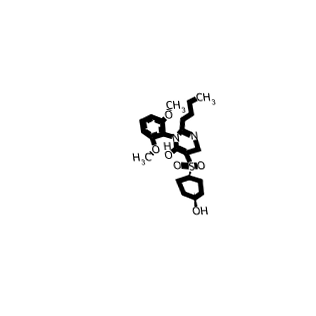 CCCCC1=NCC(S(=O)(=O)[C@H]2CC[C@H](O)CC2)=C(O)N1c1c(OC)cccc1OC